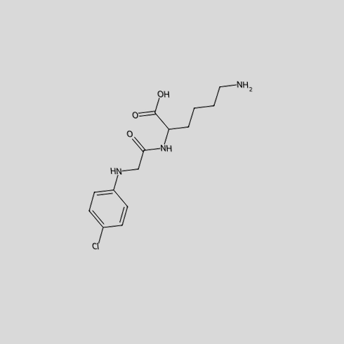 NCCCCC(NC(=O)CNc1ccc(Cl)cc1)C(=O)O